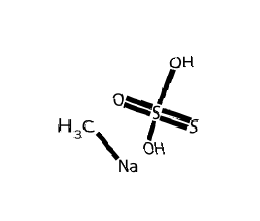 O=S(O)(O)=S.[CH3][Na]